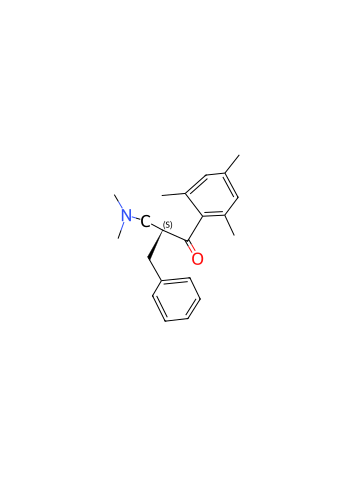 Cc1cc(C)c(C(=O)[C@@H](Cc2ccccc2)CN(C)C)c(C)c1